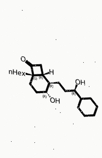 CCCCCC[C@]12CC[C@@H](O)[C@H](CC[C@@H](O)C3CCCCC3)[C@H]1CC2=O